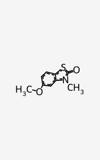 COc1ccc2sc(=O)n(C)c2c1